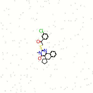 Cn1c(SCC(=O)c2cccc(Cl)c2)nc2c(c1=O)C1(CCCC1)Cc1ccccc1-2